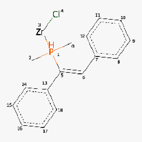 C[PH](C)([Zr][Cl])C(=Cc1ccccc1)c1ccccc1